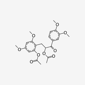 COc1cc(OC)c(CC(OC(C)=O)C(=O)c2ccc(OC)c(OC)c2)c(OC(C)=O)c1